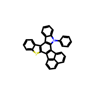 c1ccc(-n2c3ccccc3c3c4c(sc5ccccc54)c4c(c32)-c2cccc3cccc-4c23)cc1